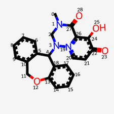 CN1CN(C2c3ccccc3COc3ccccc32)n2ccc(=O)c(O)c2C1=O